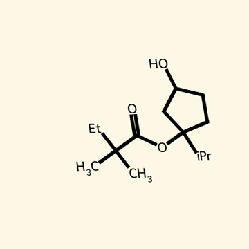 CCC(C)(C)C(=O)OC1(C(C)C)CCC(O)C1